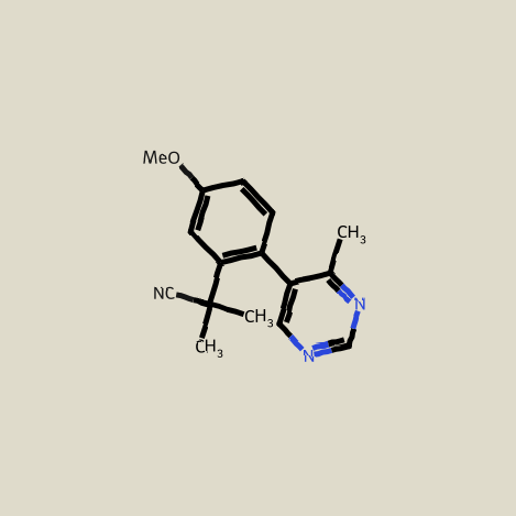 COc1ccc(-c2cncnc2C)c(C(C)(C)C#N)c1